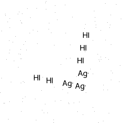 I.I.I.I.I.[Ag].[Ag].[Ag]